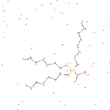 [CH2]C(O)[PH](CCCCCCCC)(CCCCCCCC)CCCCCCCC